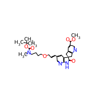 COC(=O)c1cnc2c(c1)C[C@@]1(C2)C(=O)Nc2ncc(/C=C/COCCCCN(C)C(=O)OC(C)(C)C)cc21